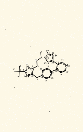 CCCCn1nc(C(C)(C)C)nc1Cc1ccc(-c2ccncc2-c2nnn[nH]2)cc1